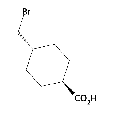 O=C(O)[C@H]1CC[C@H](CBr)CC1